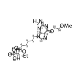 CCOP(=O)(CCCCCn1cnc2c(OCCOC)nc(N)nc21)CP(=O)(O)O